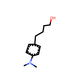 CN(C)c1ccc(CCCCO)cc1